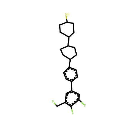 FCc1cc(-c2ccc(C3CCC(C4CCC(S)CC4)CC3)cc2)cc(F)c1F